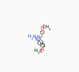 COc1ccc(Cc2nc(N)nc(C)c2Cc2ccc(OC)cc2)cc1